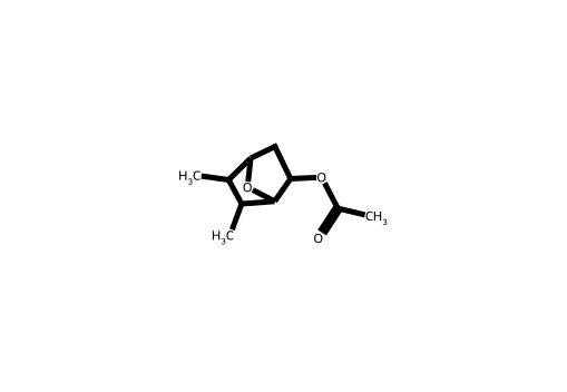 CC(=O)OC1CC2OC1C(C)C2C